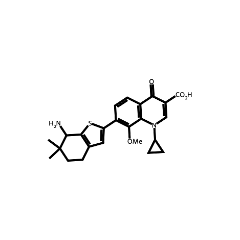 COc1c(-c2cc3c(s2)C(N)C(C)(C)CC3)ccc2c(=O)c(C(=O)O)cn(C3CC3)c12